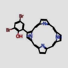 Oc1c(Br)cc(Br)cc1-c1cc2cc3nc(cc4ccc(cc5nc(cc1[nH]2)C=C5)[nH]4)C=C3